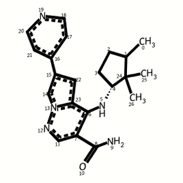 CC1CC[C@@H](Nc2c(C(N)=O)cnn3cc(-c4ccncc4)cc23)C1(C)C